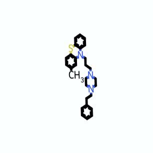 Cc1ccc2c(c1)N(CCCN1CCN(CCc3ccccc3)CC1)c1ccccc1S2